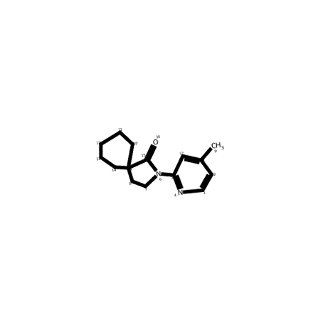 Cc1ccnc(N2CCC3(CCCCC3)C2=O)c1